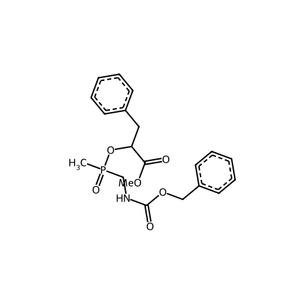 COC(=O)C(Cc1ccccc1)OP(C)(=O)CNC(=O)OCc1ccccc1